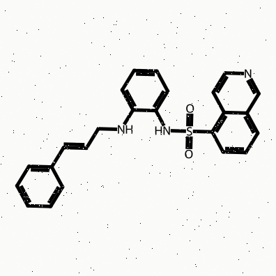 O=S(=O)(Nc1ccccc1NCC=Cc1ccccc1)c1cccc2cnccc12